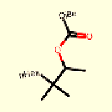 CCCCCCC(C)(C)C(C)OC(=O)OCC(C)C